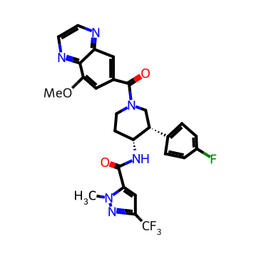 COc1cc(C(=O)N2CC[C@@H](NC(=O)c3cc(C(F)(F)F)nn3C)[C@@H](c3ccc(F)cc3)C2)cc2nccnc12